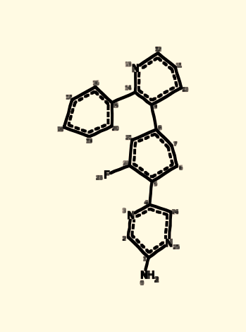 Nc1cnc(-c2ccc(-c3cccnc3-c3ccccc3)cc2F)cn1